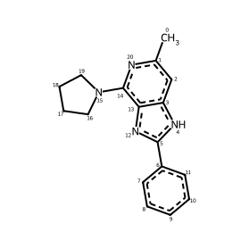 Cc1cc2[nH]c(-c3ccccc3)nc2c(N2CCCC2)n1